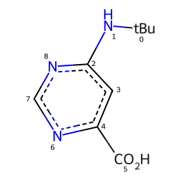 CC(C)(C)Nc1cc(C(=O)O)ncn1